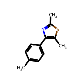 Cc1ccc(-c2nc(C)sc2C)cc1